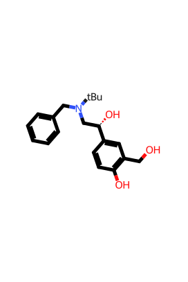 CC(C)(C)N(Cc1ccccc1)C[C@H](O)c1ccc(O)c(CO)c1